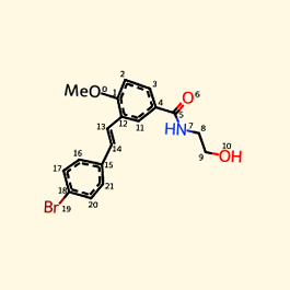 COc1ccc(C(=O)NCCO)cc1C=Cc1ccc(Br)cc1